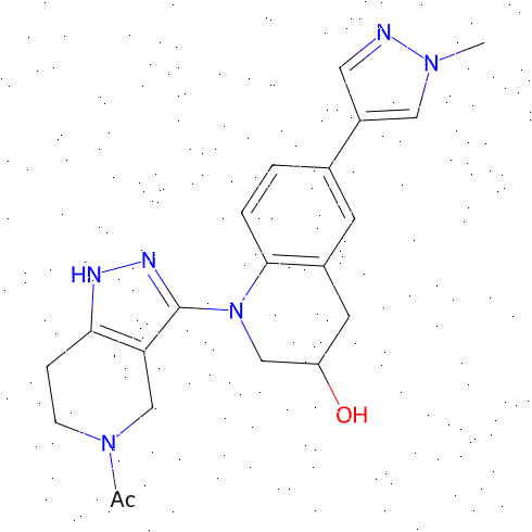 CC(=O)N1CCc2[nH]nc(N3CC(O)Cc4cc(-c5cnn(C)c5)ccc43)c2C1